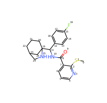 CSc1ncccc1C(=O)NC(c1ccc(F)cc1)C12CCCC(CN1)C2